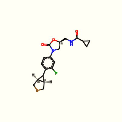 O=C(NC[C@H]1CN(c2ccc(C3[C@H]4CSC[C@@H]34)c(F)c2)C(=O)O1)C1CC1